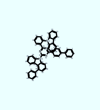 c1ccc(-c2ccc(-c3nc(-c4ccccc4-n4c5ccccc5c5ccccc54)nc(-n4c5ccccc5c5c(-c6ccccc6)cccc54)n3)cc2)cc1